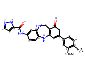 COc1cc(C2=CC3=C(CNc4cc(NC(=O)c5ccn[nH]5)ccc4N3)C(=O)C2)ccc1[N+](=O)[O-]